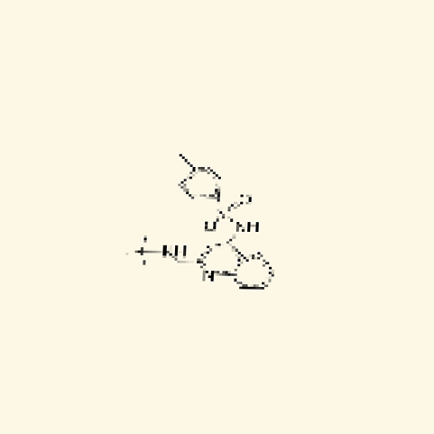 Cc1ccc(S(=O)(=O)Nc2cc(CNC(C)(C)C)nc3ccccc23)cc1